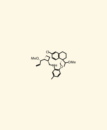 C=C[C@H](OC)[C@@H]1CC[C@H]1CNc1cc(C)ccc1OC[C@@]1(C(C)OC)CCCc2cc(Cl)ccc21